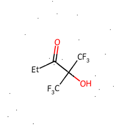 CCC(=O)C(O)(C(F)(F)F)C(F)(F)F